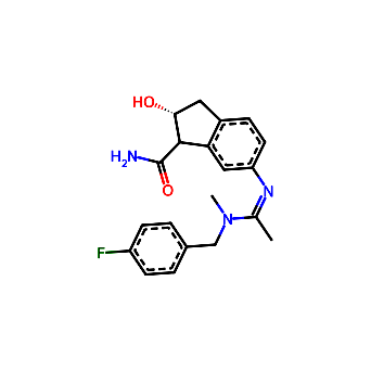 CC(=Nc1ccc2c(c1)C(C(N)=O)[C@H](O)C2)N(C)Cc1ccc(F)cc1